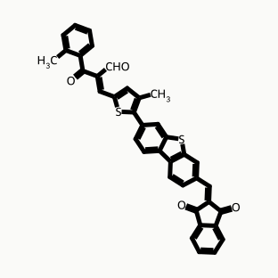 Cc1ccccc1C(=O)/C(C=O)=C/c1cc(C)c(-c2ccc3c(c2)sc2cc(C=C4C(=O)c5ccccc5C4=O)ccc23)s1